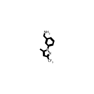 Cc1cc(C(F)(F)F)nn1-c1cc[c]c(CN)c1